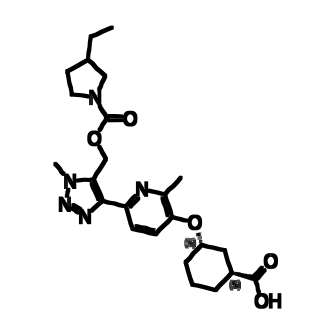 CCC1CCN(C(=O)OCc2c(-c3ccc(O[C@H]4CCC[C@H](C(=O)O)C4)c(C)n3)nnn2C)C1